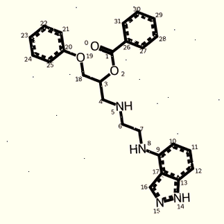 O=C(OC(CNCCNc1cccc2[nH]ncc12)COc1ccccc1)c1ccccc1